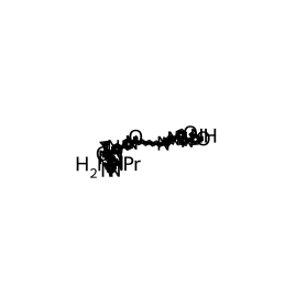 CC(C)n1nc(-c2noc(C3CC3)c2-c2ncc(C3CCN(C(=O)CCCCCCCN4CC5(C4)CN(c4cccc6c4CCN6C4CCC(=O)NC4=O)C5)CC3)cn2)c2c(N)ncnc21